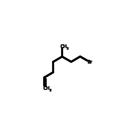 C=CCCC(C)CCBr